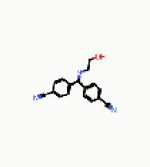 N#Cc1ccc(C(=NCCO)c2ccc(C#N)cc2)cc1